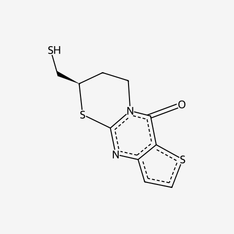 O=c1c2sccc2nc2n1CC[C@H](CS)S2